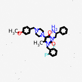 COc1ccc(CN2CCN(c3c(C)n(Cc4c(F)cccc4F)c(=O)n(C[C@@H](N)c4ccccc4)c3=O)CC2)cc1